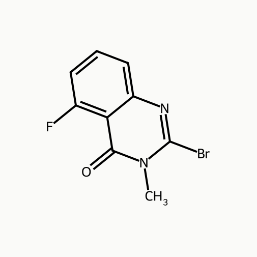 Cn1c(Br)nc2cccc(F)c2c1=O